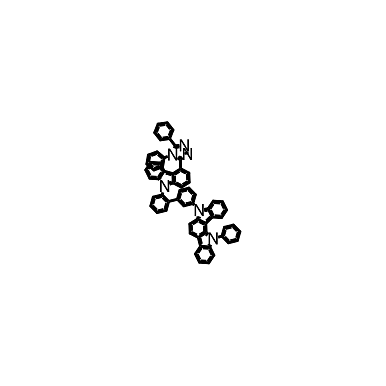 c1ccc(-c2nnc(-c3cccc4c3c3ccccc3n4-c3ccccc3-c3cccc(-n4c5ccccc5c5c4ccc4c6ccccc6n(-c6ccccc6)c45)c3)n2-c2ccccc2)cc1